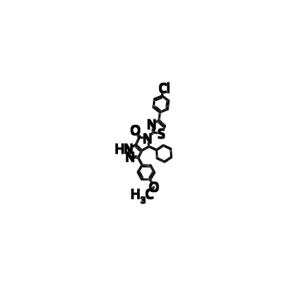 COc1ccc(-c2n[nH]c3c2C(C2CCCCC2)N(c2nc(-c4ccc(Cl)cc4)cs2)C3=O)cc1